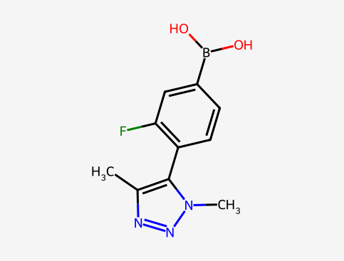 Cc1nnn(C)c1-c1ccc(B(O)O)cc1F